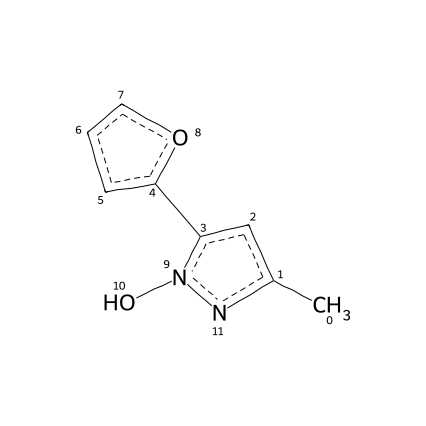 Cc1cc(-c2ccco2)n(O)n1